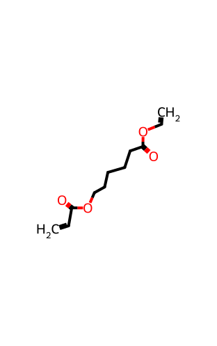 C=COC(=O)CCCCCOC(=O)C=C